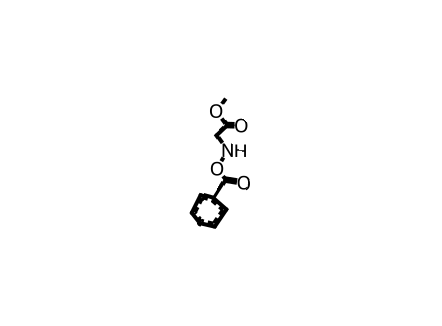 COC(=O)CNOC(=O)c1ccccc1